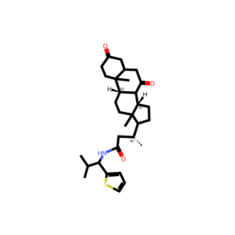 CC(C)C(NC(=O)C[C@@H](C)C1CC[C@H]2C3C(=O)CC4CC(=O)CCC4(C)[C@H]3CCC12C)c1cccs1